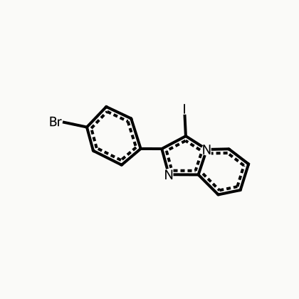 Brc1ccc(-c2nc3ccccn3c2I)cc1